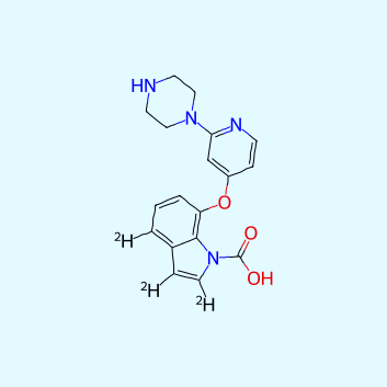 [2H]c1ccc(Oc2ccnc(N3CCNCC3)c2)c2c1c([2H])c([2H])n2C(=O)O